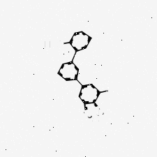 Cc1ccccc1-c1cccc(-c2cc(F)c3nonc3c2)c1